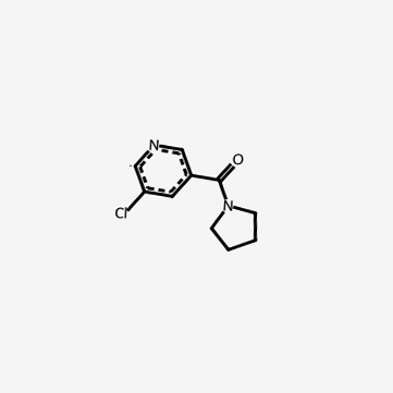 O=C(c1cn[c]c(Cl)c1)N1CCCC1